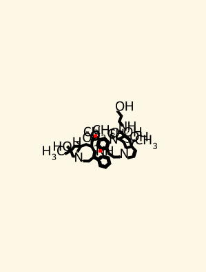 CCC1(O)C[C@H]2C[N@](CCc3c([nH]c4ccccc34)[C@@](C(=O)OC)(c3cc4c(cc3OC)N(C)C3CC5N(CC=C[C@@]5(CC)[C@@H](O)[C@]3(O)C(=O)NCCCO)CCC4)C2)C1